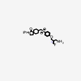 CC(C)N1CCC2(CCC(CS(=O)(=O)c3ccc(OC/C(=C/F)CN)cc3)CC2)C1=O